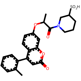 Cc1ccccc1-c1cc(=O)oc2cc(OC(C)C(=O)N3CCCC(S(=O)(=O)O)C3)ccc12